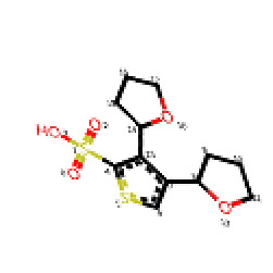 O=S(=O)(O)c1scc(C2CCCO2)c1C1CCCO1